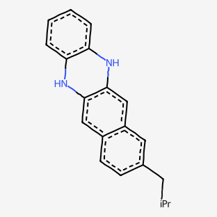 CC(C)Cc1ccc2cc3c(cc2c1)Nc1ccccc1N3